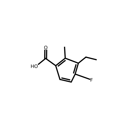 CCc1c(F)ccc(C(=O)O)c1C